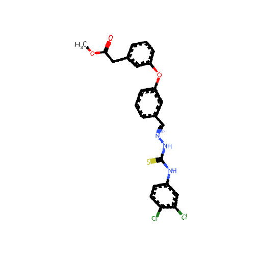 COC(=O)Cc1cccc(Oc2cccc(/C=N/NC(=S)Nc3ccc(Cl)c(Cl)c3)c2)c1